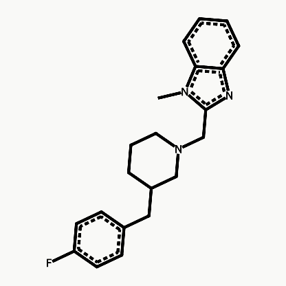 Cn1c(CN2CCCC(Cc3ccc(F)cc3)C2)nc2ccccc21